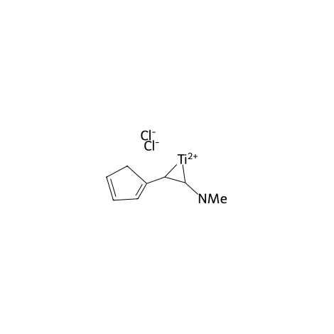 CN[CH]1[Ti+2][CH]1C1=CC=CC1.[Cl-].[Cl-]